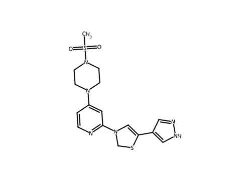 CS(=O)(=O)N1CCN(c2ccnc(N3C=C(c4cn[nH]c4)SC3)c2)CC1